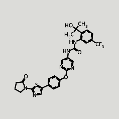 CC(C)(O)c1ccc(C(F)(F)F)cc1NC(=O)Nc1cnc(Oc2ccc(-c3cnc(N4CCCC4=O)s3)cc2)nc1